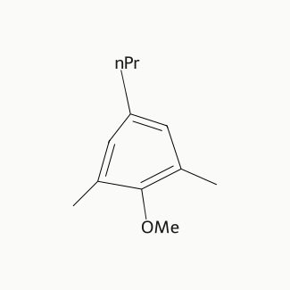 CCCc1cc(C)c(OC)c(C)c1